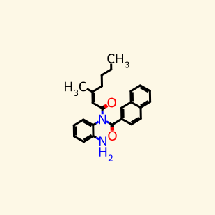 CCCC/C(C)=C\C(=O)N(C(=O)c1ccc2ccccc2c1)c1ccccc1N